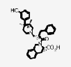 C[C@H]1CN(C[C@H](Cc2ccccc2)C(=O)N2Cc3ccccc3C[C@H]2C(=O)O)CC[C@@]1(C)c1cccc(O)c1